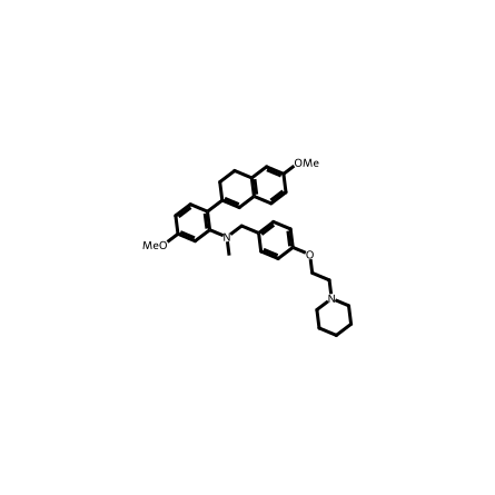 COc1ccc2c(c1)CCC(c1ccc(OC)cc1N(C)Cc1ccc(OCCN3CCCCC3)cc1)=C2